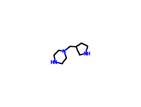 C1CN(CC2CCNC2)CCN1